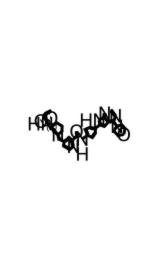 C=CS(=O)(=O)N[C@@H]1CCCN(Cc2ccnc(C(=O)Nc3ccc(-c4cc5c(N6CCOCC6)ncnc5[nH]4)cc3)c2)C1